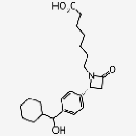 O=C(O)CCCCCCN1C(=O)C[C@@H]1c1ccc(C(O)C2CCCCC2)cc1